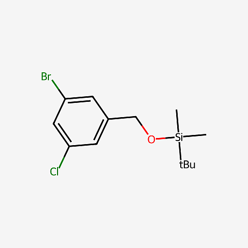 CC(C)(C)[Si](C)(C)OCc1cc(Cl)cc(Br)c1